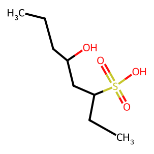 CCCC(O)CC(CC)S(=O)(=O)O